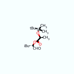 CCC(C)[C@@H](C=O)OC(=O)[C@H](C)O[Si](C)(C)C(C)(C)C